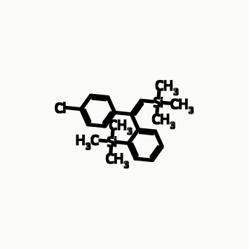 C[Si](C)(C)C=C(c1ccc(Cl)cc1)c1ccccc1[Si](C)(C)C